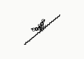 CCCCCCCCCCCCCCCCCCN(Cl)CCCCCCCCCCCCCCCCCC.CCOc1ccc(NC(=S)Nc2ccc(OCC)cc2)cc1